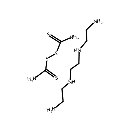 NC(=S)SSC(N)=S.NCCNCCNCCN